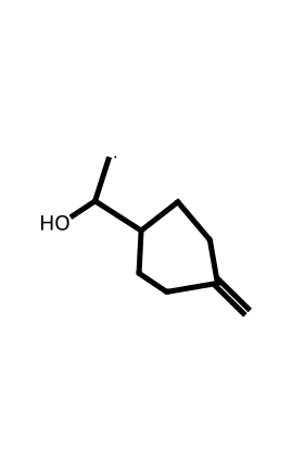 [CH2]C(O)C1CCC(=C)CC1